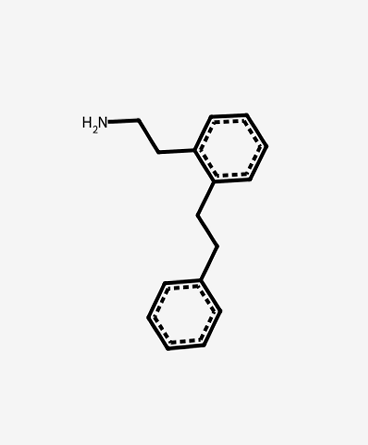 NCCc1ccccc1CCc1ccccc1